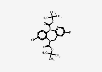 CC(C)(C)OC(=O)N1Cc2cc(F)cnc2N(C(=O)OC(C)(C)C)c2ccc(Cl)cc21